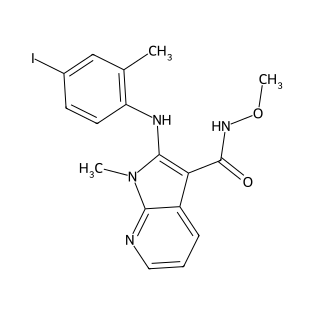 CONC(=O)c1c(Nc2ccc(I)cc2C)n(C)c2ncccc12